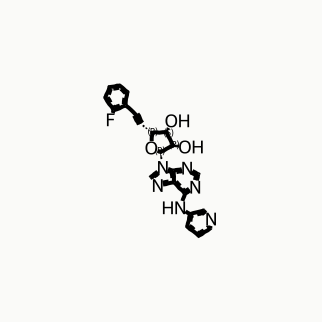 O[C@@H]1[C@H](O)[C@@H](C#Cc2ccccc2F)O[C@H]1n1cnc2c(Nc3cccnc3)ncnc21